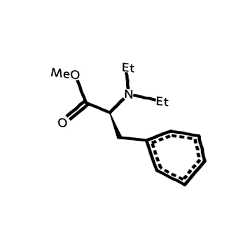 [CH2]OC(=O)[C@H](Cc1ccccc1)N(CC)CC